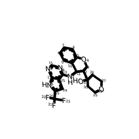 OC1(C2COc3ccccc3C2Nc2ncnc3[nH]c(C(F)(F)F)cc23)CCOCC1